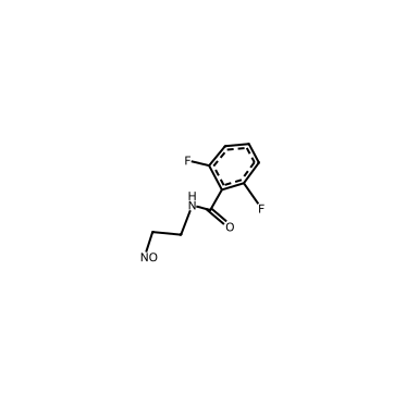 O=NCCNC(=O)c1c(F)cccc1F